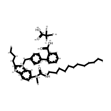 CCCCCCCCCCCCNC(=O)N(C)c1ccc2nc(CCCC)n(Cc3ccc(-c4ccccc4C(=O)O)cc3)c2c1.O=C(O)C(F)(F)F